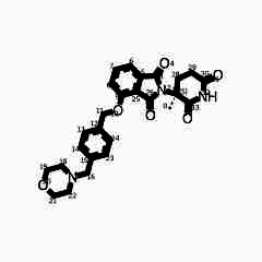 C[C@]1(N2C(=O)c3cccc(OCc4ccc(CN5CCOCC5)cc4)c3C2=O)CCC(=O)NC1=O